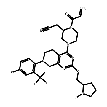 C=CC(=O)N1CCN(c2nc(OCC3CCCN3C)nc3c2CCN(c2ccc(F)cc2C(F)(F)F)C3)CC1CC#N